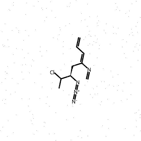 C=C/C=C(\C[C@@H](N=[N+]=[N-])C(C)Cl)N=C